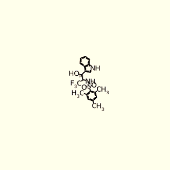 Cc1cc(C)c(S(=O)(=O)NC([C@@H](O)c2c[nH]c3ccccc23)C(F)(F)F)c(C)c1